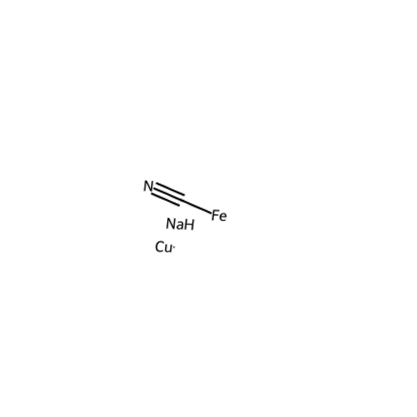 N#[C][Fe].[Cu].[NaH]